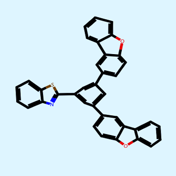 c1ccc2sc(-c3cc(-c4ccc5oc6ccccc6c5c4)cc(-c4ccc5oc6ccccc6c5c4)c3)nc2c1